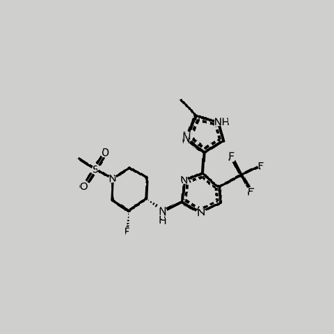 Cc1nc(-c2nc(N[C@H]3CCN(S(C)(=O)=O)C[C@H]3F)ncc2C(F)(F)F)c[nH]1